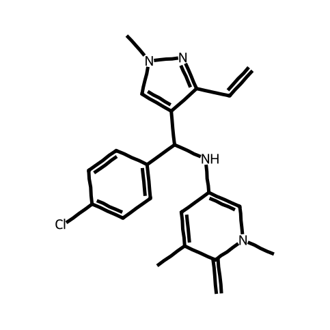 C=Cc1nn(C)cc1C(NC1=CN(C)C(=C)C(C)=C1)c1ccc(Cl)cc1